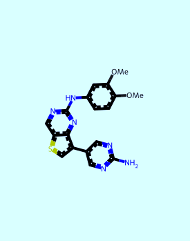 COc1ccc(Nc2ncc3scc(-c4cnc(N)nc4)c3n2)cc1OC